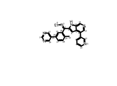 CC/N=C(/c1cc2c(-c3cccnc3)cncc2[nH]1)c1cc(-c2cncnc2)ccc1C